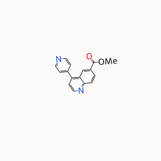 COC(=O)c1ccc2nccc(-c3ccncc3)c2c1